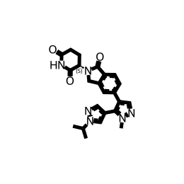 CC(C)n1cc(-c2c(-c3ccc4c(c3)CN([C@H]3CCC(=O)NC3=O)C4=O)cnn2C)cn1